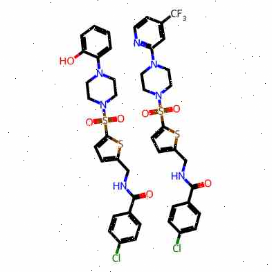 O=C(NCc1ccc(S(=O)(=O)N2CCN(c3cc(C(F)(F)F)ccn3)CC2)s1)c1ccc(Cl)cc1.O=C(NCc1ccc(S(=O)(=O)N2CCN(c3ccccc3O)CC2)s1)c1ccc(Cl)cc1